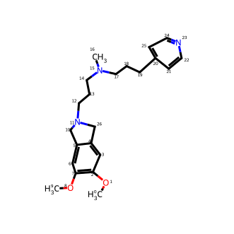 COc1cc2c(cc1OC)CN(CCCN(C)CCCc1ccncc1)C2